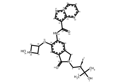 CC(C)(O)[C@H](F)CN1Cc2cc(NC(=O)c3cnn4cccnc34)c(OC3CNC3)cc2C1=O.Cl